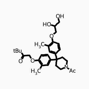 CC(=O)N1CCC(c2ccc(OCC(=O)C(C)(C)C)c(C)c2)(c2ccc(OCC(O)CO)c(C)c2)CC1